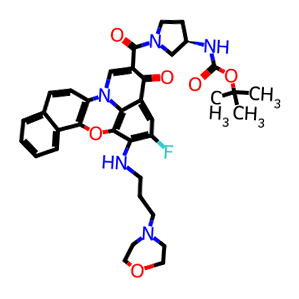 CC(C)(C)OC(=O)N[C@@H]1CCN(C(=O)c2cn3c4c(c(NCCCN5CCOCC5)c(F)cc4c2=O)Oc2c-3ccc3ccccc23)C1